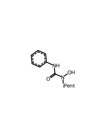 CCCC(C)N(O)C(=O)Nc1ccccc1